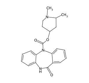 CC1CC(OC(=O)N2c3ccccc3NC(=O)c3ccccc32)CCN1C